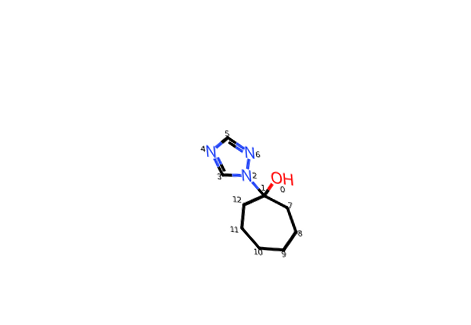 OC1(n2cncn2)CCCCCC1